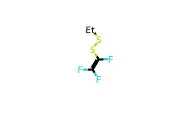 CCSSC(F)=C(F)F